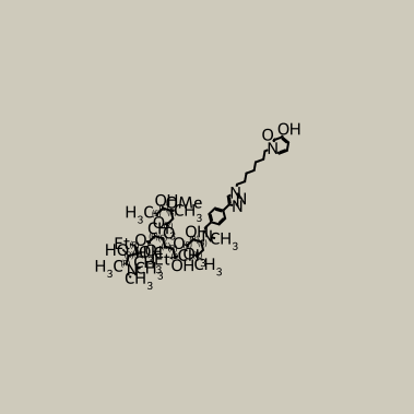 CC[C@@H](OC(=O)[C@H](C)[C@@H](O[C@H]1C[C@@](C)(OC)[C@@H](O)[C@H](C)O1)[C@H](C)[C@@H](O[C@@H]1O[C@H](C)C[C@H](N(C)Cc2ccc(-c3cn(CCCCCCCn4cccc(O)c4=O)nn3)cc2)[C@H]1O)[C@](C)(O)CC)[C@@](C)(O)[C@H](O)[C@@H](C)N(C)C